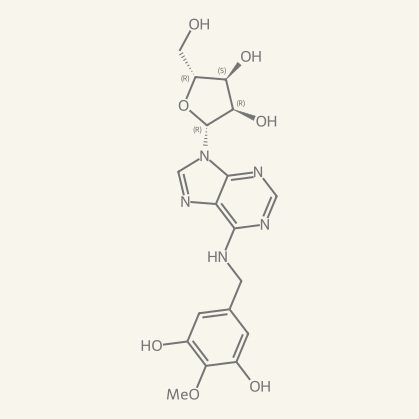 COc1c(O)cc(CNc2ncnc3c2ncn3[C@@H]2O[C@H](CO)[C@@H](O)[C@H]2O)cc1O